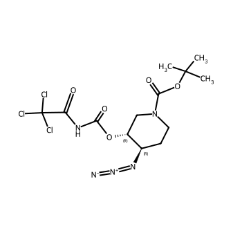 CC(C)(C)OC(=O)N1CC[C@@H](N=[N+]=[N-])[C@H](OC(=O)NC(=O)C(Cl)(Cl)Cl)C1